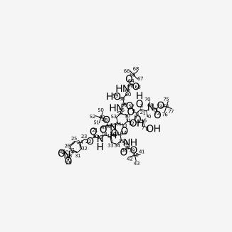 C[C@@H]([C@@H](O)[C@H](OCCO)O[C@@H]1[C@@H](O)[C@H](O[C@H]2OC(CNC(=O)OCc3ccc([N+](=O)[O-])cc3)=CC[C@H]2NC(=O)OC(C)(C)C)[C@@H](NC(=O)OC(C)(C)C)C[C@H]1NC(=O)[C@@H](O)CNC(=O)OC(C)(C)C)N(C)C(=O)OC(C)(C)C